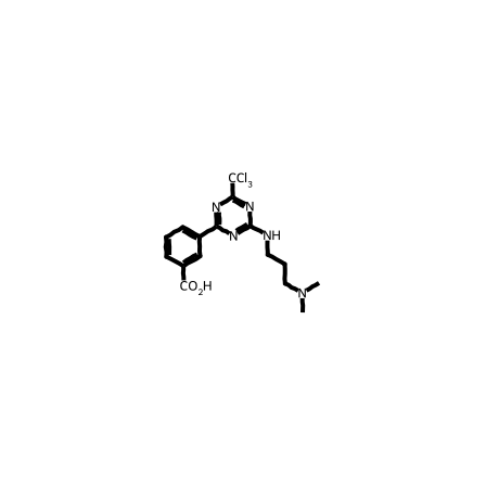 CN(C)CCCNc1nc(-c2cccc(C(=O)O)c2)nc(C(Cl)(Cl)Cl)n1